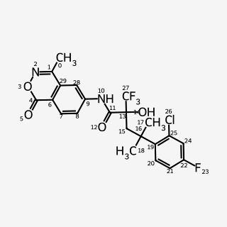 Cc1noc(=O)c2ccc(NC(=O)C(O)(CC(C)(C)c3ccc(F)cc3Cl)C(F)(F)F)cc12